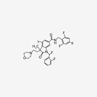 CC1(CCN2CCOCC2)C(=O)N(C(F)c2ccccc2F)c2cc(C(=O)NCc3c(F)cc(F)cc3F)cc(I)c21